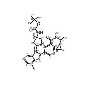 Cc1cccc2[nH]c(-c3cncc(C(=O)N(C)C(C)C4CC4)c3N3CCC(C)(NC(=O)OC(C)(C)C)C3)nc12